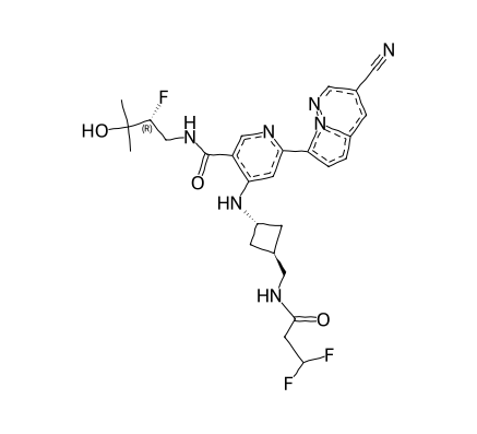 CC(C)(O)[C@H](F)CNC(=O)c1cnc(-c2ccc3cc(C#N)cnn23)cc1N[C@H]1C[C@H](CNC(=O)CC(F)F)C1